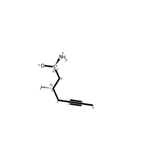 CC#CC[C@H](C)C[S@+](N)[O-]